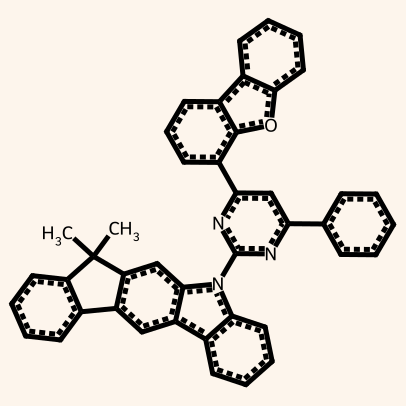 CC1(C)c2ccccc2-c2cc3c4ccccc4n(-c4nc(-c5ccccc5)cc(-c5cccc6c5oc5ccccc56)n4)c3cc21